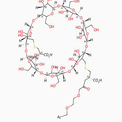 CN[C@H](CSCC1O[C@H]2O[C@@H]3C(CO)O[C@H](O[C@@H]4C(CO)O[C@@H](O[C@@H]5C(CO)O[C@H](O[C@@H]6C(CSC[C@@H](CC(=O)COCCOCC(C)=O)C(=O)O)O[C@H](O[C@@H]7C(CO)O[C@@H](O[C@@H]8C(CO)O[C@@H](O[C@H]1[C@H](O)C2O)C(O)[C@H]8O)C(O)[C@H]7O)C(O)[C@H]6O)C(O)[C@H]5O)C(O)[C@H]4O)C(O)[C@H]3O)C(=O)O